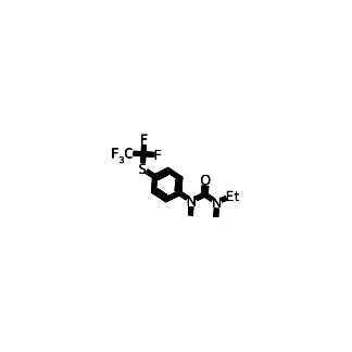 CCN(C)C(=O)N(C)c1ccc(SC(F)(F)C(F)(F)F)cc1